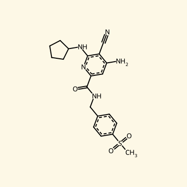 CS(=O)(=O)c1ccc(CNC(=O)c2cc(N)c(C#N)c(NC3CCCC3)n2)cc1